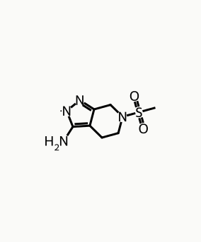 CS(=O)(=O)N1CCC2=C(N)[N]N=C2C1